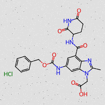 Cc1nc2c(C(=O)NC3CCC(=O)NC3=O)cc(NC(=O)OCc3ccccc3)cc2n1CC(=O)O.Cl